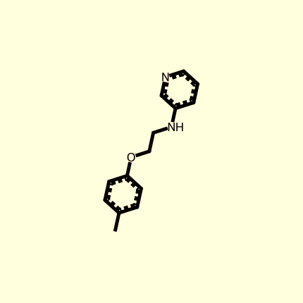 Cc1ccc(OCCNc2cccnc2)cc1